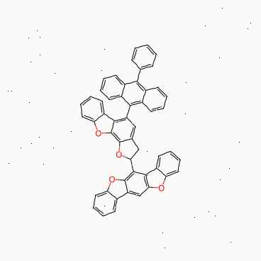 c1ccc(-c2c3ccccc3c(-c3cc4c(c5oc6ccccc6c35)OC(c3c5oc6ccccc6c5cc5oc6ccccc6c35)C4)c3ccccc23)cc1